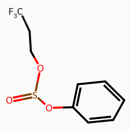 O=S(OCCC(F)(F)F)Oc1ccccc1